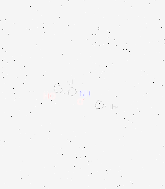 Cc1cc(NC(=O)CCc2ccc(C(C)(C)C)cc2)ccc1-c1cccc(O)c1